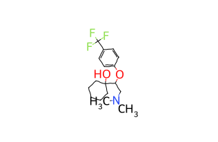 CN(C)CC(Oc1ccc(C(F)(F)F)cc1)C1(O)CCCCC1